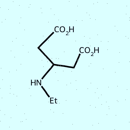 CCNC(CC(=O)O)CC(=O)O